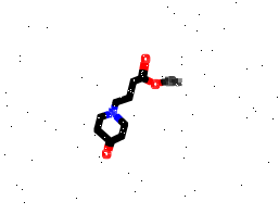 CC(C)(C)OC(=O)CCCN1CCC(=O)CC1